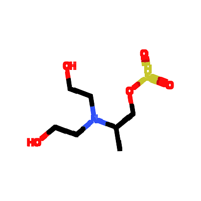 CC(CO[SH](=O)=O)N(CCO)CCO